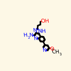 COc1cncc(-c2ccc3c(c2)nc(N)c2nc(CCCO)[nH]c23)c1